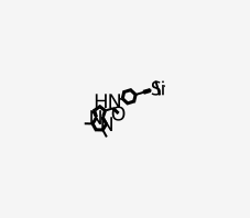 Cc1cc(C)n2ccc(C(=O)Nc3ccc(C#C[Si](C)(C)C)cc3)c2n1